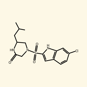 CC(C)CC1CN(S(=O)(=O)c2cc3ccc(Cl)cc3[nH]2)CC(=O)N1